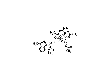 CC(=O)OC[C@H]1O[C@](O)(CCCOC(=O)Oc2c(C(C)C)cccc2C(C)C)[C@H](OC(C)=O)[C@@H](OC(C)=O)[C@@H]1OC(C)=O